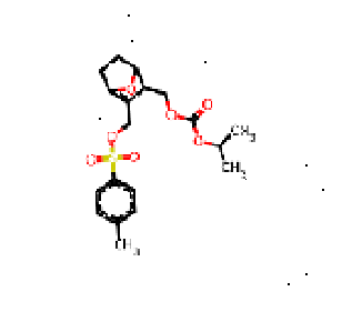 Cc1ccc(S(=O)(=O)OCC2=C3CCC(O3)C2COC(=O)OC(C)C)cc1